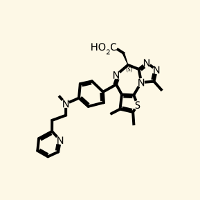 Cc1sc2c(c1C)C(c1ccc(N(C)CCc3ccccn3)cc1)=N[C@@H](CC(=O)O)c1nnc(C)n1-2